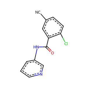 N#Cc1ccc(Cl)c(C(=O)Nc2cccnc2)c1